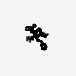 Nc1c(CC(=O)[O-])cccc1OCc1ccccc1.[Na+]